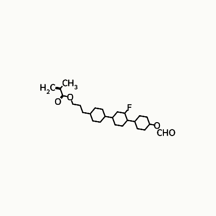 C=C(C)C(=O)OCCCC1CCC(C2CCC(C3CCC(OC=O)CC3)C(F)C2)CC1